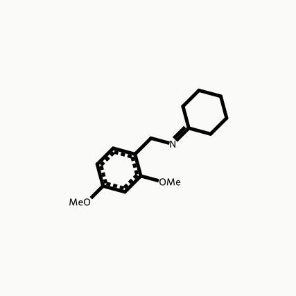 COc1ccc(CN=C2CCCCC2)c(OC)c1